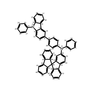 c1ccc(N(c2ccc(-c3ccc4c(c3)c3ccccc3n4-c3ccccc3)cc2)c2ccc3c(c2)C2(c4ccccc4-c4ccccc42)c2ccccc2-3)cc1